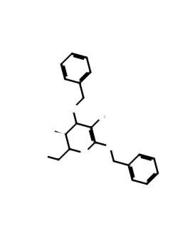 CC(=O)NC1=C(OCc2ccccc2)OC(CO)[C@@H](O)C1OCc1ccccc1